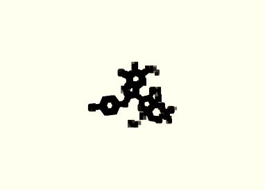 Nc1nc2c(nc(Sc3ccc(Cl)cc3)n2[C@@H]2O[C@@H]3COP([O-])(=S)O[C@H]3[C@H]2O)c(=O)[nH]1.[Na+]